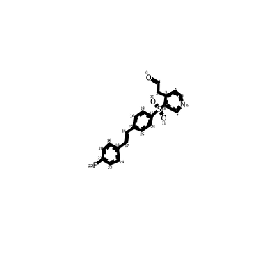 O=CCc1ccncc1S(=O)(=O)c1ccc(/C=C/c2ccc(F)cc2)cc1